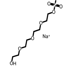 O=S(=O)([O-])OCCOCCOCCOCCO.[Na+]